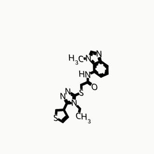 CCn1c(SCC(=O)Nc2cccc3ncn(C)c23)nnc1C1C=CSC1